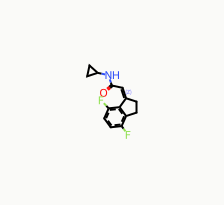 O=C(/C=C1/CCc2c(F)ccc(F)c21)NC1CC1